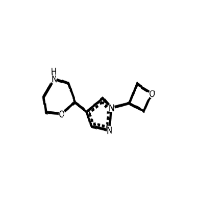 c1nn(C2COC2)cc1C1CNCCO1